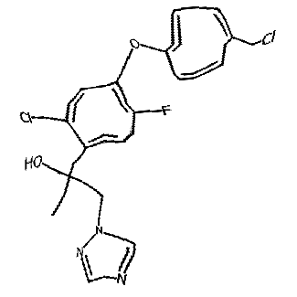 CC(O)(Cn1cncn1)c1cc(F)c(Oc2ccc(Cl)cc2)cc1Cl